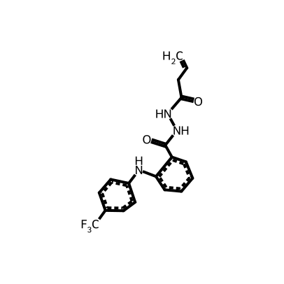 C=CCC(=O)NNC(=O)c1ccccc1Nc1ccc(C(F)(F)F)cc1